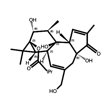 CC1=C[C@H]2[C@@]3(O)[C@H](C)[C@@H](O)[C@]4(OC(=O)C(C)C)[C@H]([C@@H]3C=C(CO)C[C@]2(O)C1=O)C4(C)C